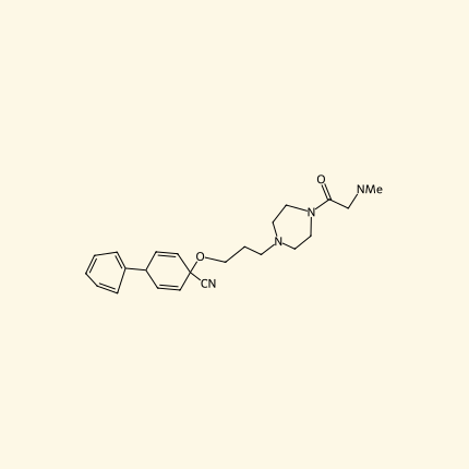 CNCC(=O)N1CCN(CCCOC2(C#N)C=CC(c3ccccc3)C=C2)CC1